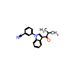 CC(C)C(=O)c1cn(-c2cccc(C#N)c2)c2ccccc12